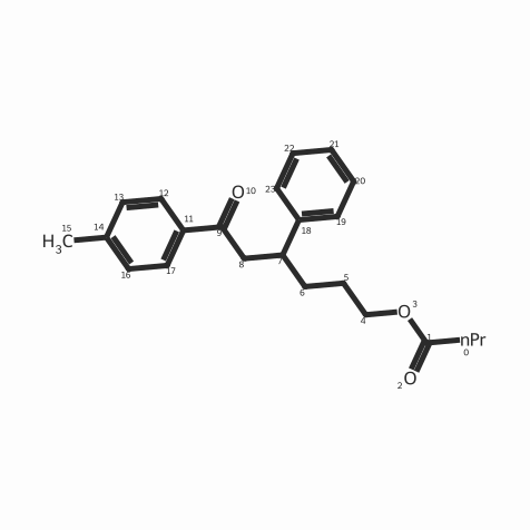 CCCC(=O)OCCCC(CC(=O)c1ccc(C)cc1)c1ccccc1